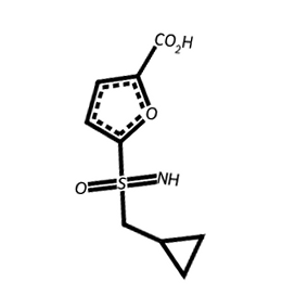 N=S(=O)(CC1CC1)c1ccc(C(=O)O)o1